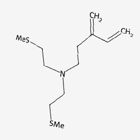 C=CC(=C)CCN(CCSC)CCSC